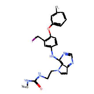 CONC(=O)NCCn1ccc2ncnc(Nc3ccc(Oc4cccc(C(F)(F)F)c4)c(CI)c3)c21